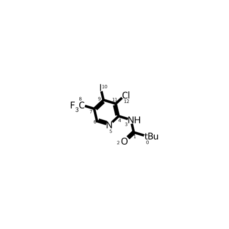 CC(C)(C)C(=O)Nc1ncc(C(F)(F)F)c(I)c1Cl